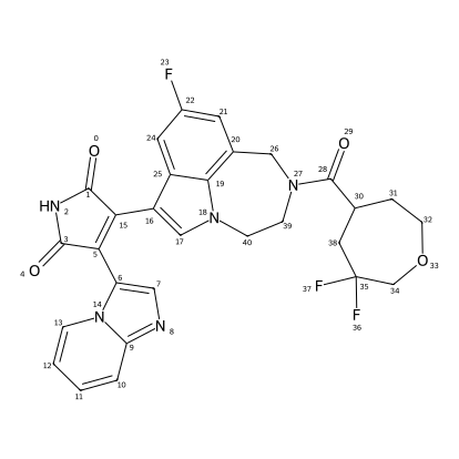 O=C1NC(=O)C(c2cnc3ccccn23)=C1c1cn2c3c(cc(F)cc13)CN(C(=O)C1CCOCC(F)(F)C1)CC2